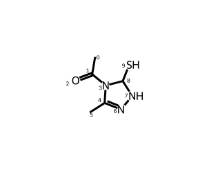 CC(=O)N1C(C)=NNC1S